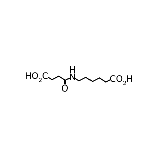 O=C(O)CCCCCNC(=O)CCC(=O)O